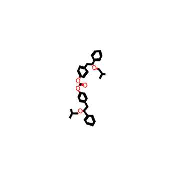 CC(C)COC(Cc1ccc(OC(=O)Oc2ccc(CC(OCC(C)C)c3ccccc3)cc2)cc1)c1ccccc1